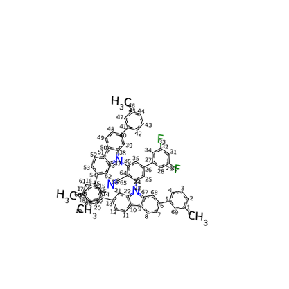 Cc1cccc(-c2ccc3c4ccc(-c5cccc(C)c5)cc4n(-c4cc(-c5cc(F)cc(F)c5)cc(-n5c6cc(-c7cccc(C)c7)ccc6c6ccc(-c7cccc(C)c7)cc65)c4C#N)c3c2)c1